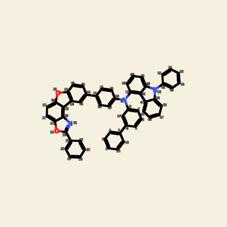 c1ccc(-c2cccc(N(c3ccc(-c4ccc5oc6ccc7oc(-c8ccccc8)nc7c6c5c4)cc3)c3cccc4c3c3ccccc3n4-c3ccccc3)c2)cc1